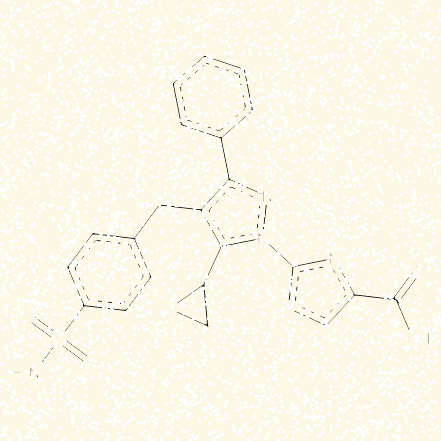 NS(=O)(=O)c1ccc(Cc2c(-c3ccccc3)nn(-c3nc(C(=O)O)cs3)c2C2CO2)cc1